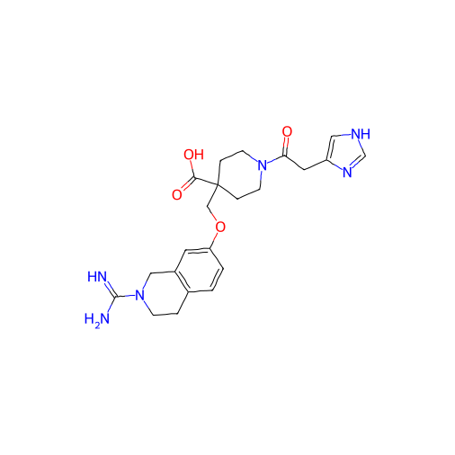 N=C(N)N1CCc2ccc(OCC3(C(=O)O)CCN(C(=O)Cc4c[nH]cn4)CC3)cc2C1